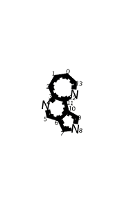 c1ccc2ncc3cncc3c2nc1